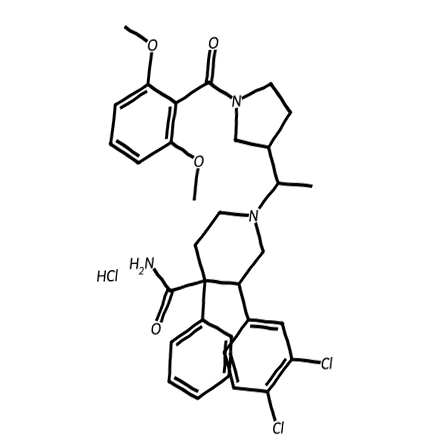 COc1cccc(OC)c1C(=O)N1CCC(C(C)N2CCC(C(N)=O)(c3ccccc3)C(c3ccc(Cl)c(Cl)c3)C2)C1.Cl